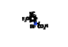 [C-]#[N+]c1ccc(N(CC)CC(=O)O)cc1C(F)(F)F